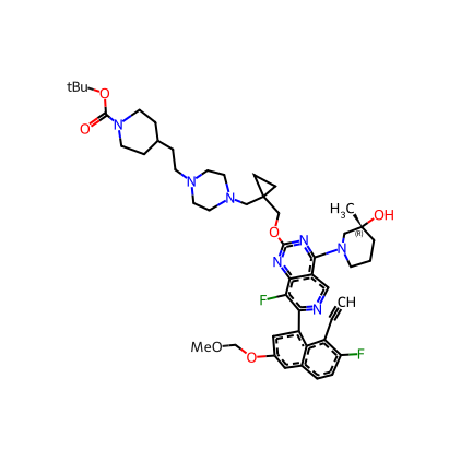 C#Cc1c(F)ccc2cc(OCOC)cc(-c3ncc4c(N5CCC[C@@](C)(O)C5)nc(OCC5(CN6CCN(CCC7CCN(C(=O)OC(C)(C)C)CC7)CC6)CC5)nc4c3F)c12